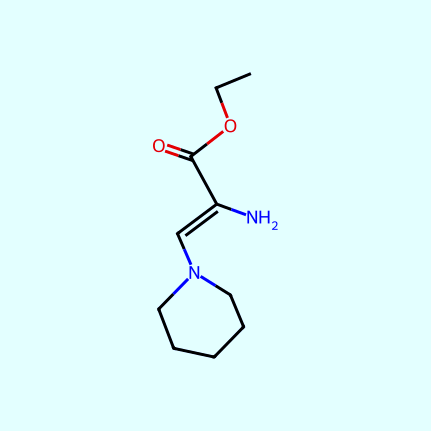 CCOC(=O)C(N)=CN1CCCCC1